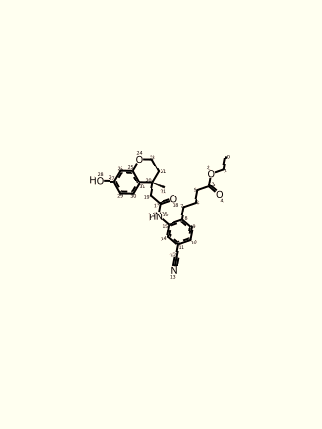 CCOC(=O)CCCc1ccc(C#N)cc1NC(=O)C[C@@]1(C)CCOc2cc(O)ccc21